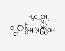 CCC(C)N1CCN(C(=O)O)[C@@H](C(=O)N2CCN(C(=O)Nc3ccc(Cl)c(Cl)c3)CC2)C1